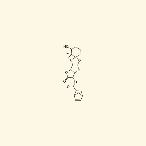 CC1(C)C(O)CCCC12OC1OC3C(OC(=O)C4CC5C=CC4C5)C(=O)OC3C1O2